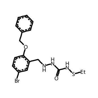 CCSNC(=O)NNCc1cc(Br)ccc1OCc1ccccc1